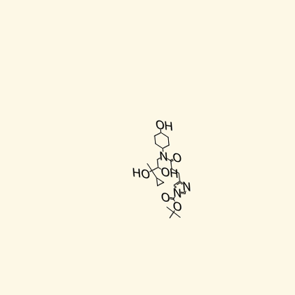 CC(C)(C)OC(=O)n1cnc(CCC(=O)N(CC(O)C(C)(O)C2CC2)C2CCC(O)CC2)c1